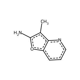 Cc1c(N)oc2cccnc12